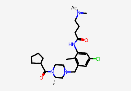 CC(=O)N(C)CCCC(=O)Nc1cc(Cl)cc(CN2CCN(C(=O)C3CCCC3)[C@@H](C)C2)c1C